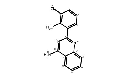 Cc1c(Cl)cccc1-c1nc(N)c2ccccc2n1